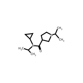 CC(C)N1CCC(C(=O)N(C(C)C)C2CC2)C1